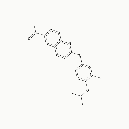 CC(=O)c1ccc2nc(Oc3ccc(OC(C)C)c(C)c3)ccc2c1